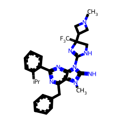 CC(C)c1ccccc1-c1nc(Cc2ccccc2)c2c(n1)n(C1=NC(C3CN(C)C3)(C(F)(F)F)CN1)c(=N)n2C